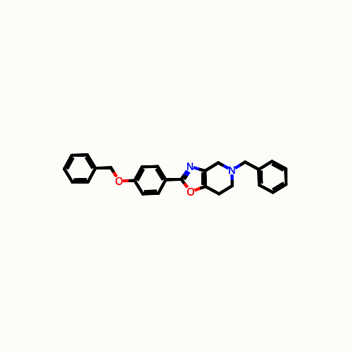 c1ccc(COc2ccc(-c3nc4c(o3)CCN(Cc3ccccc3)C4)cc2)cc1